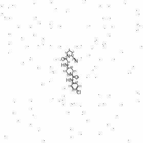 N#CC1CCCN1C(=O)CNC1CCN(C(=O)Nc2ccc(Cl)cc2)CC1